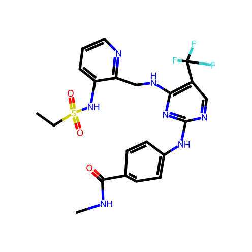 CCS(=O)(=O)Nc1cccnc1CNc1nc(Nc2ccc(C(=O)NC)cc2)ncc1C(F)(F)F